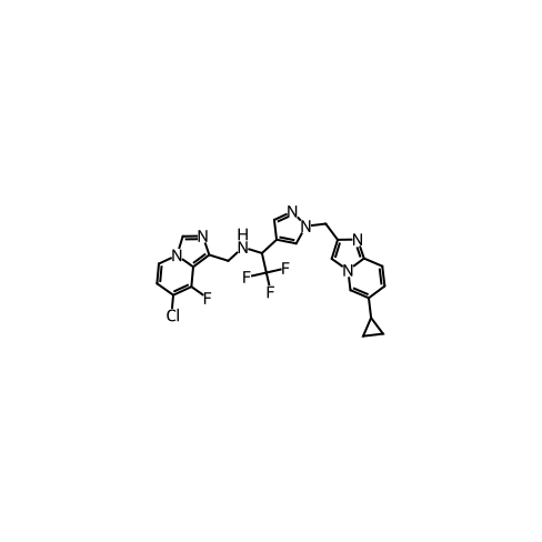 Fc1c(Cl)ccn2cnc(CNC(c3cnn(Cc4cn5cc(C6CC6)ccc5n4)c3)C(F)(F)F)c12